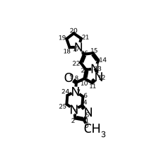 Cc1cn2c(n1)CN(C(=O)c1cnn3ccc(N4CCCC4)cc13)CC2